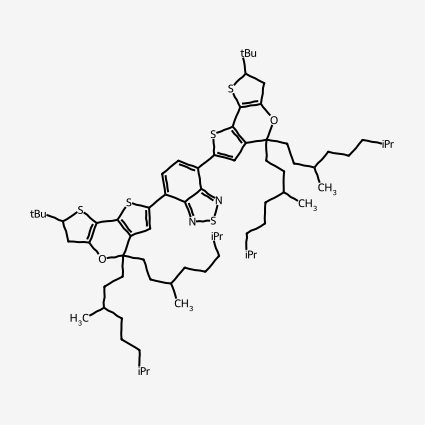 CC(C)CCCC(C)CCC1(CCC(C)CCCC(C)C)OC2=C(SC(C(C)(C)C)C2)c2sc(-c3ccc(-c4cc5c(s4)C4=C(CC(C(C)(C)C)S4)OC5(CCC(C)CCCC(C)C)CCC(C)CCCC(C)C)c4nsnc34)cc21